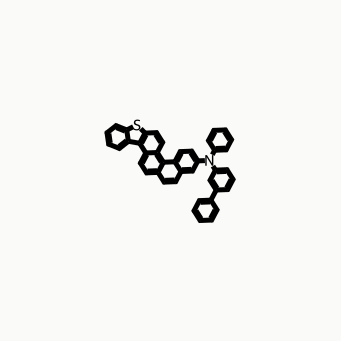 c1ccc(-c2cccc(N(c3ccccc3)c3ccc4c(ccc5ccc6c(ccc7sc8ccccc8c76)c54)c3)c2)cc1